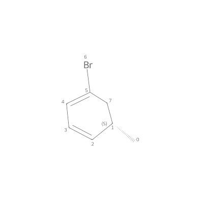 C[C@@H]1C=CC=C(Br)C1